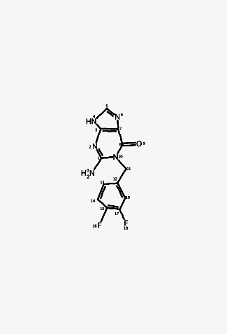 Nc1nc2[nH]cnc2c(=O)n1Cc1ccc(F)c(F)c1